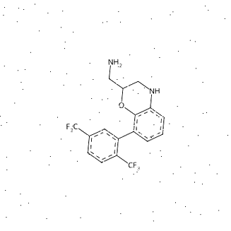 NCC1CNc2cccc(-c3cc(C(F)(F)F)ccc3C(F)(F)F)c2O1